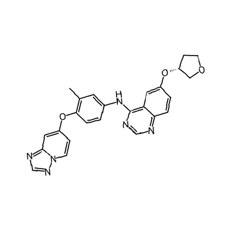 Cc1cc(Nc2ncnc3ccc(O[C@@H]4CCOC4)cc23)ccc1Oc1ccn2ncnc2c1